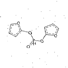 O=[PH](Oc1ccco1)Oc1ccco1